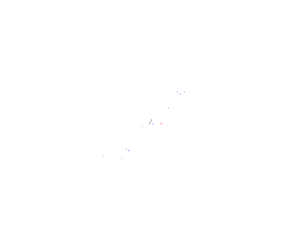 CC1(C)CN(CCCOC(=O)/C=C/C(=O)OCCCN2CCOC(C)(C)C2)CCO1.Cl